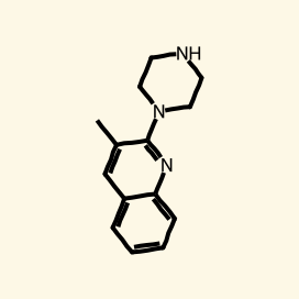 Cc1cc2ccccc2nc1N1CCNCC1